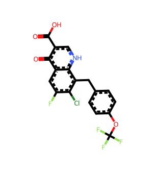 O=C(O)c1c[nH]c2c(Cc3ccc(OC(F)(F)F)cc3)c(Cl)c(F)cc2c1=O